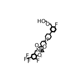 COc1c(F)cc(C(F)(F)F)cc1CNC(=O)[C@@]1(C2CC2)CC[C@@H](N2CCC(c3ccc(F)c(COCO)c3)CC2)CO1